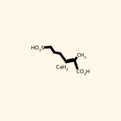 CC(=CCCCS(=O)(=O)O)C(=O)O.[CaH2]